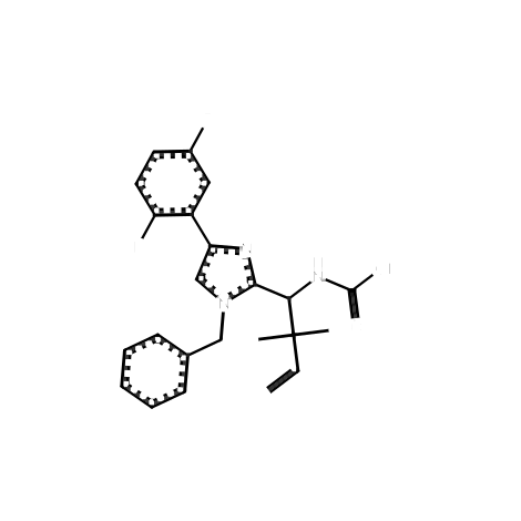 C=CC(C)(C)C(NC(=O)O)c1nc(-c2cc(F)ccc2F)cn1Cc1ccccc1